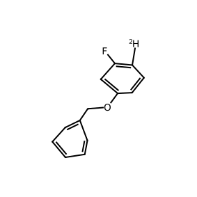 [2H]c1ccc(OCc2ccccc2)cc1F